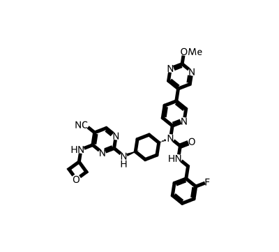 COc1ncc(-c2ccc(N(C(=O)NCc3ccccc3F)[C@H]3CC[C@H](Nc4ncc(C#N)c(NC5COC5)n4)CC3)nc2)cn1